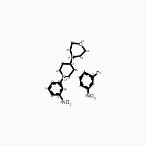 O=[N+]([O-])c1cccc(F)c1.O=[N+]([O-])c1cccc(N2CCC(N3CCOCC3)CC2)c1